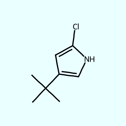 CC(C)(C)c1c[nH]c(Cl)c1